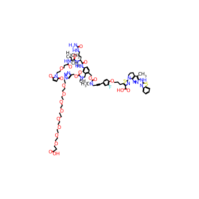 Cc1c(Nc2nc3ccccc3s2)nnc2c1CCCN2c1nc(C(=O)O)c(CCCOc2ccc(C#CCN(C)C(=O)OCc3ccc(NC(=O)[C@H](CCCNC(N)=O)NC(=O)[C@](C)(NC(=O)CCOCCN4C(=O)C=CC4=O)C(C)C)cc3CN(C)C(=O)OCc3cn(CCOCCOCCOCCOCCOCCOCCOCCOCCC(=O)O)nn3)cc2F)s1